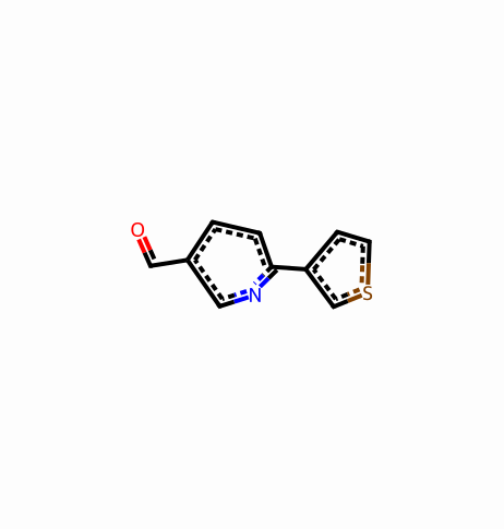 O=Cc1ccc(-c2ccsc2)nc1